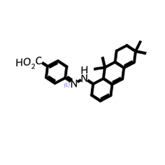 CC1(C)C=C2C=C3C=CCC(N/N=C4/C=CC(C(=O)O)=CC4)C3C(C)(C)C2CC1